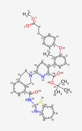 COC(=O)CCc1ccc(Oc2cccc(-c3ccc(N4CCc5cccc(C(=O)Nc6nc7ccccc7s6)c5C4)nc3C(=O)OC(C)(C)C)c2C)cc1